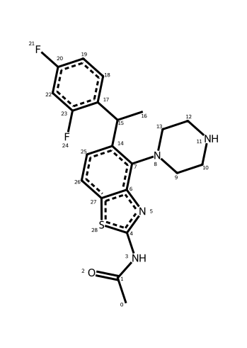 CC(=O)Nc1nc2c(N3CCNCC3)c(C(C)c3ccc(F)cc3F)ccc2s1